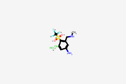 CNCc1cc(N)ccc1S(=O)(=O)C(F)(F)F.Cl.Cl